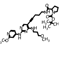 COCCCNc1nc(Nc2ccnc(OC)c2)ncc1C#CCCCNC(=O)C1CCCN1C(=O)OC(C)(C)C